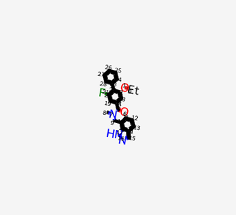 CCOc1cc(C(=O)N(C)Cc2cccc3cn[nH]c23)cc(F)c1-c1ccccc1